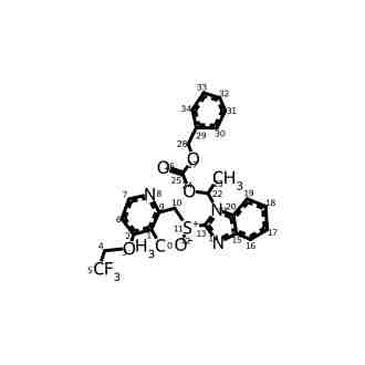 Cc1c(OCC(F)(F)F)ccnc1C[S+]([O-])c1nc2ccccc2n1C(C)OC(=O)OCc1ccccc1